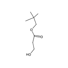 CC(C)(C)COC(=O)CCO